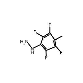 Cc1c(F)c(F)c(NN)c(F)c1F